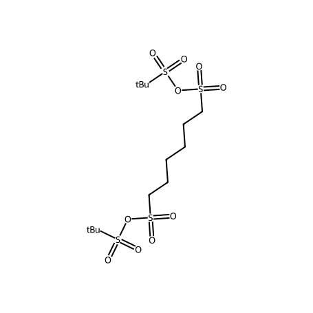 CC(C)(C)S(=O)(=O)OS(=O)(=O)CCCCCCS(=O)(=O)OS(=O)(=O)C(C)(C)C